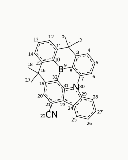 CC1(C)c2cccc3c2B2c4c1cccc4C(C)(C)c1cc(C#N)c4c5ccccc5n-3c4c12